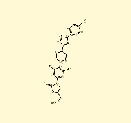 CC(=O)NCC1CN(c2cc(F)c(N3CCC(n4nnc(-c5ccc([N+](=O)[O-])cc5)n4)CC3)c(F)c2)C(=O)O1